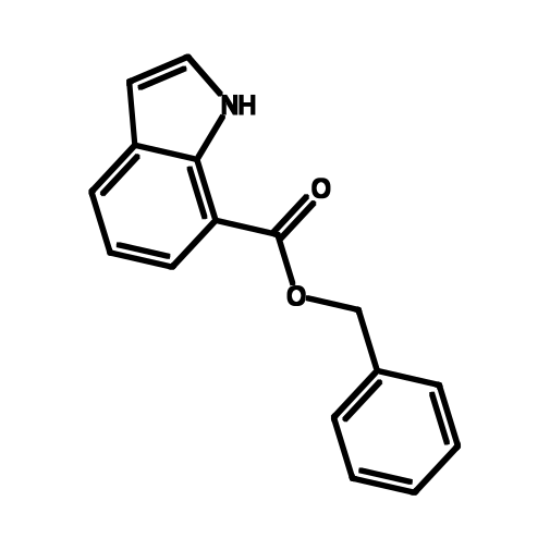 O=C(OCc1ccccc1)c1cccc2cc[nH]c12